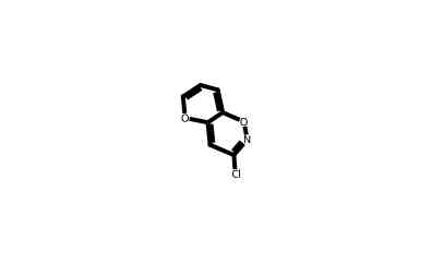 ClC1=NOC2=CC=COC2=C1